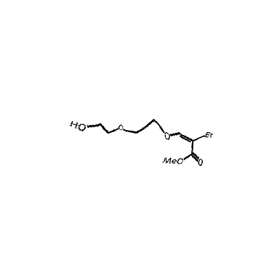 CCC(=COCCOCCO)C(=O)OC